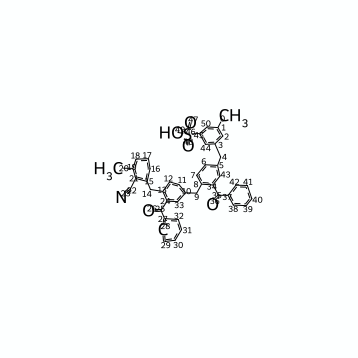 Cc1cc(Cc2ccc(Cc3ccc(Cc4cccc(C)c4C#N)c(C(=O)c4ccccc4)c3)c(C(=O)c3ccccc3)c2)cc(S(=O)(=O)O)c1